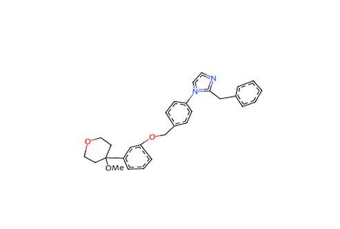 COC1(c2cccc(OCc3ccc(-n4ccnc4Cc4ccccc4)cc3)c2)CCOCC1